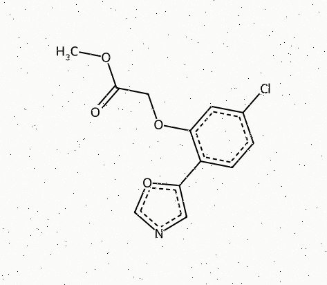 COC(=O)COc1cc(Cl)ccc1-c1cnco1